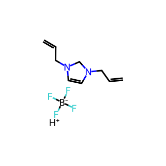 C=CCN1C=CN(CC=C)C1.F[B-](F)(F)F.[H+]